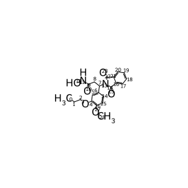 CCCOc1cc(C(CC(=O)NO)N2C(=O)c3ccccc3C2=O)ccc1OC